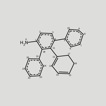 Nc1ccc(-c2ccccc2)c(C2=CC=CCC2)c1-c1ccccc1